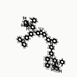 Cc1ccccc1Oc1ccc(N(c2ccc(-c3ccc(-n4c5ccccc5c5cc(-c6ccc7c(c6)-c6ccc(N(c8ccc(-c9ccc(-n%10c%11ccccc%11c%11ccccc%11%10)cc9)cc8)c8ccc(Oc9ccccc9C)c(C9[C@H]%10C[C@H]%11C[C@H](C[C@H]9C%11)C%10)c8)cc6C7(C)C)ccc54)cc3)cc2)c2cccc(-c3ccccc3)c2)cc1C1[C@H]2C[C@H]3C[C@H](C[C@H]1C3)C2